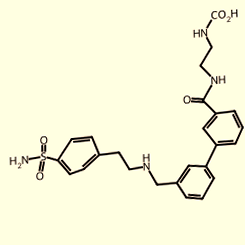 NS(=O)(=O)c1ccc(CCNCc2cccc(-c3cccc(C(=O)NCCNC(=O)O)c3)c2)cc1